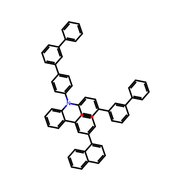 c1ccc(-c2cccc(-c3ccc(N(c4ccc(-c5cccc(-c6ccccc6)c5)cc4)c4ccccc4-c4cccc(-c5cccc6ccccc56)c4)cc3)c2)cc1